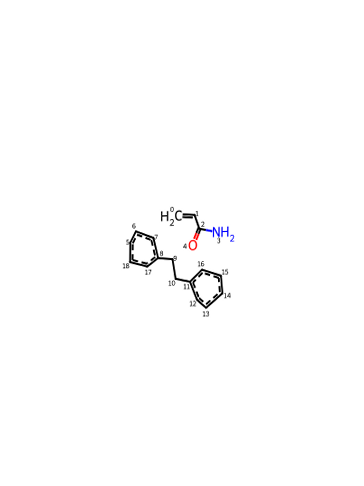 C=CC(N)=O.c1ccc(CCc2ccccc2)cc1